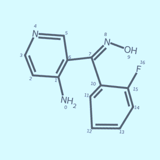 Nc1ccncc1C(=NO)c1ccccc1F